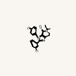 CC(C)N1CCc2nc(-c3cccc(Cl)c3)n(-c3ccc(Cl)cc3)c2C1=O